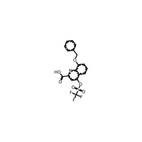 O=C(O)c1cc(OS(=O)(=O)C(F)(F)F)c2cccc(OCc3ccccc3)c2n1